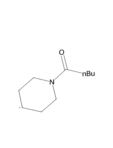 CCCCC(=O)N1CC[CH]CC1